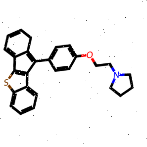 C1=CCC2=C(c3ccc(OCCN4CCCC4)cc3)c3c(sc4ccccc34)C2=C1